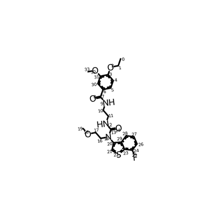 CCOc1ccc(C(=O)NCCNC(=O)N(CCOC)c2csc3c(F)cccc23)cc1OC